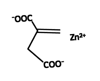 C=C(CC(=O)[O-])C(=O)[O-].[Zn+2]